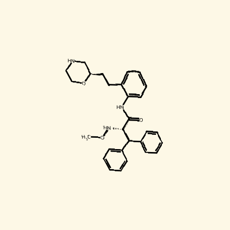 CON[C@H](C(=O)Nc1ccccc1CC[C@@H]1CNCCO1)C(c1ccccc1)c1ccccc1